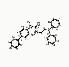 CN(CCC(c1ccccc1)c1ccccc1)C(=O)N(C)c1ccc(-c2ccccc2)cc1